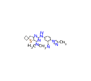 Cc1cn(-c2ccc(Nc3nc4c(c(N(C)C)n3)SC3(CCC3)C4)cc2C#N)cn1